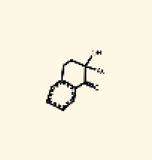 CC(=O)C1(O)CCc2ccccc2C1=O